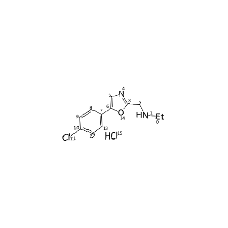 CCNCc1ncc(-c2ccc(Cl)cc2)o1.Cl